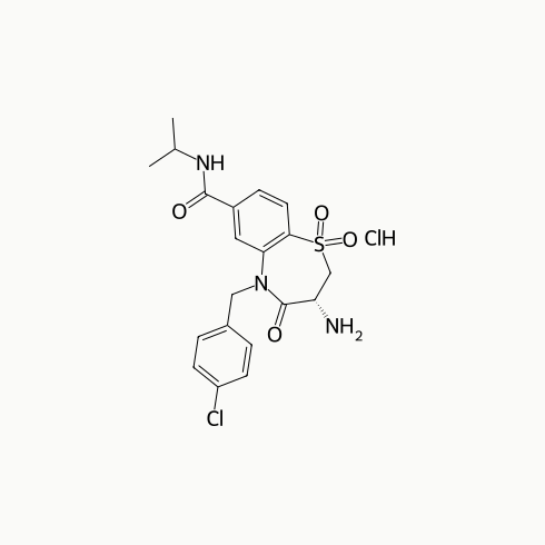 CC(C)NC(=O)c1ccc2c(c1)N(Cc1ccc(Cl)cc1)C(=O)[C@@H](N)CS2(=O)=O.Cl